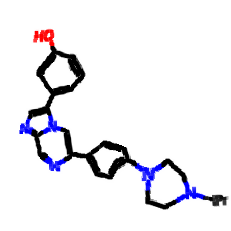 CC(C)N1CCN(c2ccc(-c3cn4c(-c5cccc(O)c5)cnc4cn3)cc2)CC1